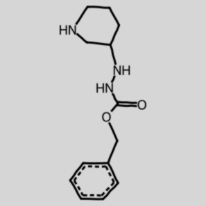 O=C(NNC1CCCNC1)OCc1ccccc1